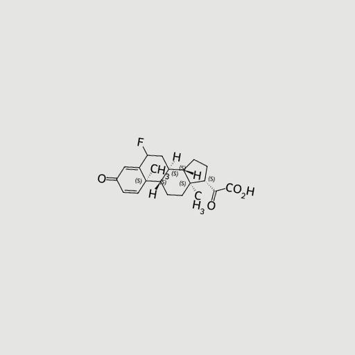 C[C@]12CC[C@H]3[C@@H](CC(F)C4=CC(=O)C=C[C@@]43C)[C@@H]1CC[C@@H]2C(=O)C(=O)O